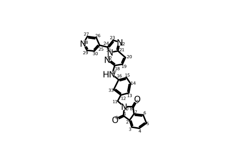 O=C1c2ccccc2C(=O)N1Cc1cccc(Nc2ccc3ncc(-c4ccncc4)n3n2)c1